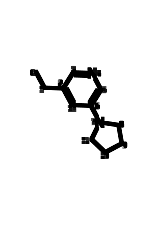 CCc1cncc(N2CCCC2)c1